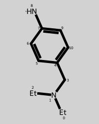 CCN(CC)Cc1ccc([NH])cc1